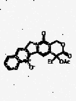 CCC1(OC(C)=O)C(=O)OCc2c1cc1n(c2=O)Cc2cc3ccccc3[n+]([O-])c2-1